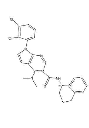 CN(C)c1c(C(=O)N[C@H]2CCCc3ccccc32)cnc2c1ccn2-c1cccc(Cl)c1Cl